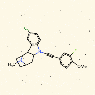 COc1ccc(C#CN2c3ccc(Cl)cc3C3C2CC2CCC3N2C)cc1F